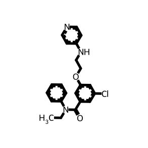 CCN(C(=O)c1cc(Cl)cc(OCCNc2ccncc2)c1)c1ccccc1